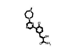 CN1CCCN(c2cncc(-c3cc(/C=C(\S)C(N)=O)ccc3Cl)n2)CC1